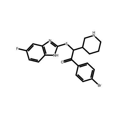 O=C(c1ccc(Br)cc1)C(Sc1nc2cc(F)ccc2[nH]1)C1CCCNC1